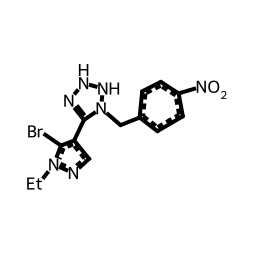 CCn1ncc(C2=NNNN2Cc2ccc([N+](=O)[O-])cc2)c1Br